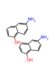 Nc1ccc2c(O)cccc2c1.Nc1ccc2c(O)cccc2c1